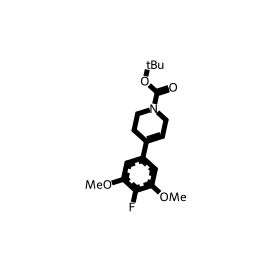 COc1cc(C2=CCN(C(=O)OC(C)(C)C)CC2)cc(OC)c1F